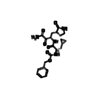 NC(=O)C(=O)C(CC1CCNC1=O)NC(=O)[C@H](CC1CC1)NC(=O)OCc1ccccc1